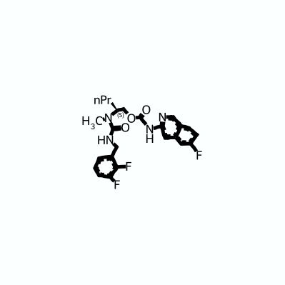 [CH2]CC[C@@H](COC(=O)Nc1cc2cc(F)ccc2cn1)N(C)C(=O)NCc1cccc(F)c1F